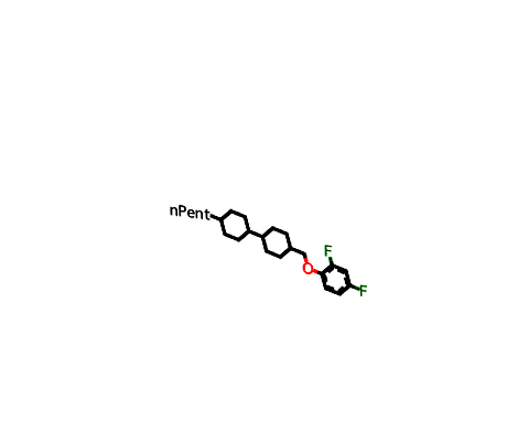 CCCCCC1CCC(C2CCC(COc3ccc(F)cc3F)CC2)CC1